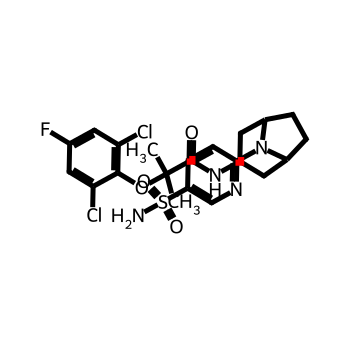 CC(C)(Oc1c(Cl)cc(F)cc1Cl)C(=O)NC1CC2CCC(C1)N2c1ccc(S(N)(=O)=O)cn1